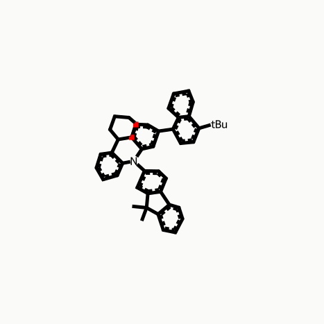 CC(C)(C)c1ccc(-c2cccc(N(c3ccc4c(c3)C(C)(C)c3ccccc3-4)c3ccccc3C3CCCCC3)c2)c2ccccc12